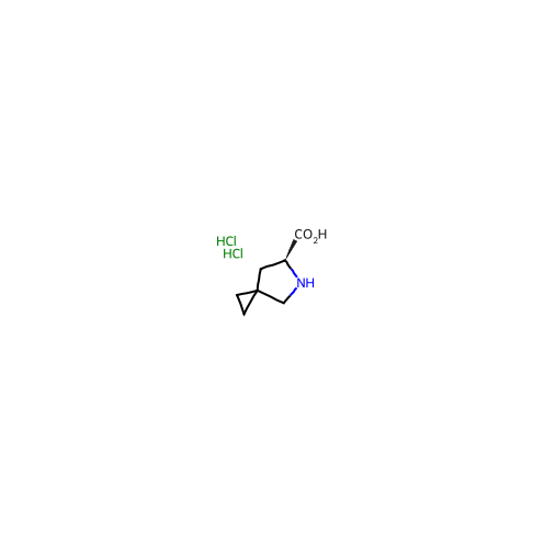 Cl.Cl.O=C(O)[C@@H]1CC2(CC2)CN1